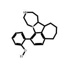 CCOc1ccccc1-c1ccc2c3c1N1CCNCCC1C3CCCC2